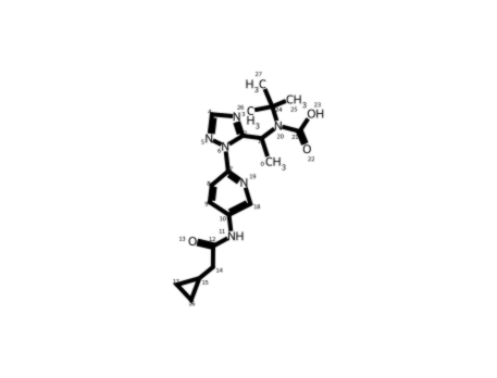 CC(c1ncnn1-c1ccc(NC(=O)CC2CC2)cn1)N(C(=O)O)C(C)(C)C